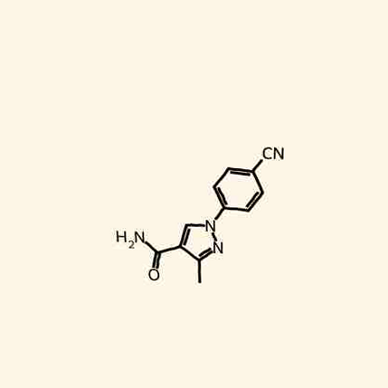 Cc1nn(-c2ccc(C#N)cc2)cc1C(N)=O